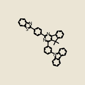 CC1(C)c2ccccc2-c2nc(-c3ccc(-c4nc5ccccc5s4)cc3)nc(-c3cccc(-n4c5ccccc5c5ccccc54)c3)c21